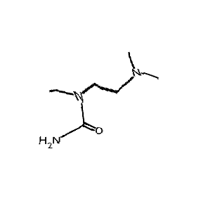 CN(C)CCN(C)C(N)=O